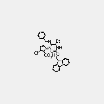 CCC(NC(=O)OCC1c2ccccc2-c2ccccc21)C(=NCc1ccccc1)Nn1ccc(Cl)c1C(=O)O